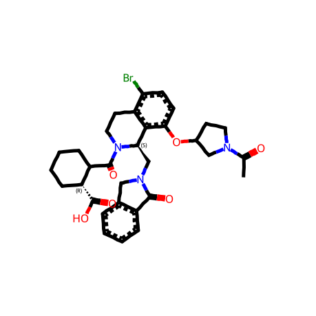 CC(=O)N1CCC(Oc2ccc(Br)c3c2[C@@H](CN2Cc4ccccc4C2=O)N(C(=O)C2CCCC[C@H]2C(=O)O)CC3)C1